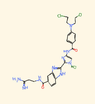 Cl.Cn1cc(NC(=O)c2ccc(N(CCCl)CCCl)cc2)nc1-c1nc2cc(C(=O)NCCC(=N)N)ccc2[nH]1